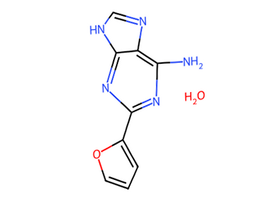 Nc1nc(-c2ccco2)nc2[nH]cnc12.O